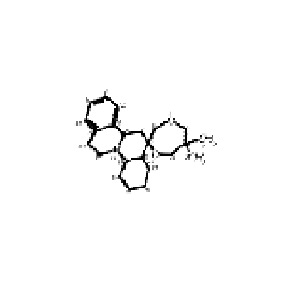 CC1(C)COCC2(CC3c4ccccc4CCN3C3CCCCC32)OC1